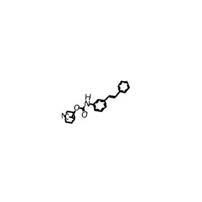 O=C(Nc1cccc(/C=C/c2ccccc2)c1)OC1CN2CCC1CC2